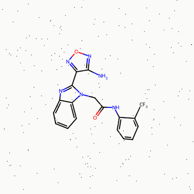 Nc1nonc1-c1nc2ccccc2n1CC(=O)Nc1ccccc1C(F)(F)F